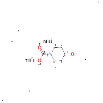 CCCC[C@@H]1CC(=O)CCN1C(=O)OC(C)(C)C